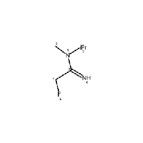 CC(C)N(C)C(=N)CF